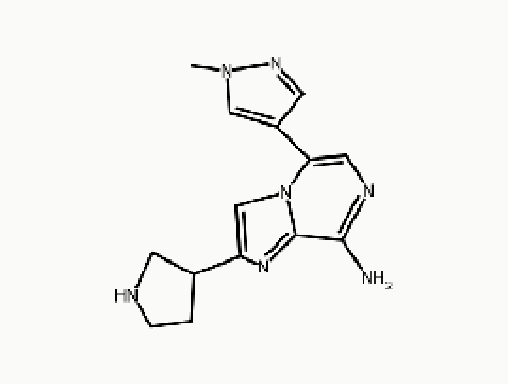 Cn1cc(-c2cnc(N)c3nc(C4CCNC4)cn23)cn1